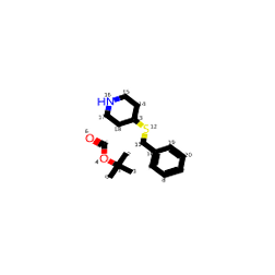 CC(C)(C)OC=O.c1ccc(CSC2CCNCC2)cc1